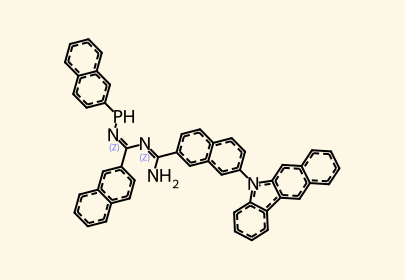 N/C(=N\C(=N/Pc1ccc2ccccc2c1)c1ccc2ccccc2c1)c1ccc2ccc(-n3c4ccccc4c4cc5ccccc5cc43)cc2c1